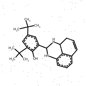 CC(C)(C)c1cc(C2Nc3cccc4c3C(CC=C4)N2)c(O)c(C(C)(C)C)c1